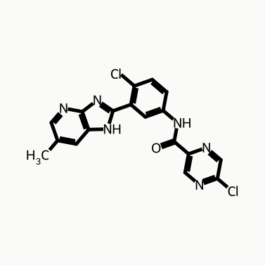 Cc1cnc2nc(-c3cc(NC(=O)c4cnc(Cl)cn4)ccc3Cl)[nH]c2c1